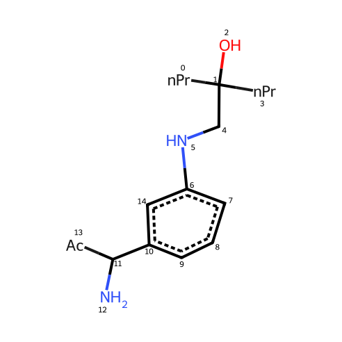 CCCC(O)(CCC)CNc1cccc(C(N)C(C)=O)c1